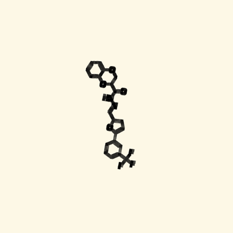 O=C(NN=Cc1ccc(-c2cccc(C(F)(F)F)c2)o1)C1COc2ccccc2O1